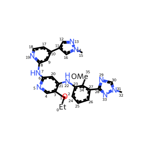 CCC(=O)c1cnc(Nc2cc(-c3cnn(C)c3)ccn2)cc1Nc1cccc(-c2ncn(C)n2)c1OC